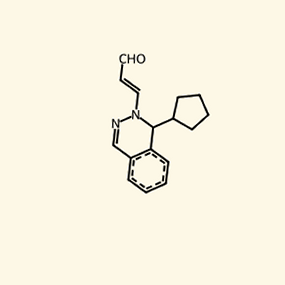 O=CC=CN1N=Cc2ccccc2C1C1CCCC1